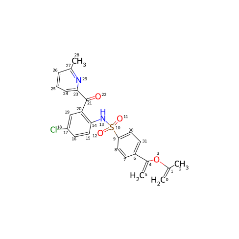 C=C(C)OC(=C)c1ccc(S(=O)(=O)Nc2ccc(Cl)cc2C(=O)c2cccc(C)n2)cc1